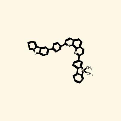 C[Si]1(C)c2ccccc2-c2ccc(-c3ccc4ccc5ccc(-c6ccc(-c7ccc8sc9ccccc9c8c7)cc6)nc5c4n3)cc21